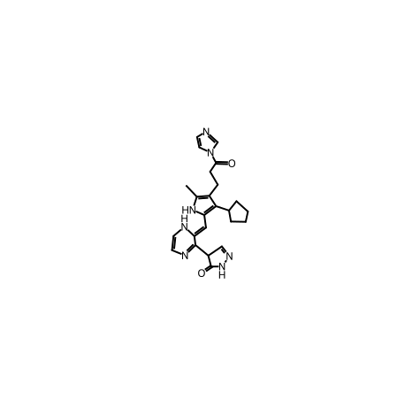 Cc1[nH]c(C=C2NC=CN=C2C2C=NNC2=O)c(C2CCCC2)c1CCC(=O)n1ccnc1